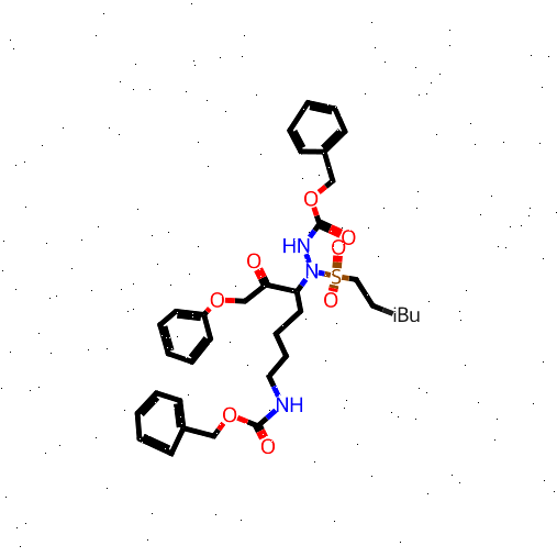 CCC(C)CCS(=O)(=O)N(NC(=O)OCc1ccccc1)C(CCCCNC(=O)OCc1ccccc1)C(=O)COc1ccccc1